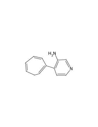 Nc1cnccc1C1=CCC=CC=C1